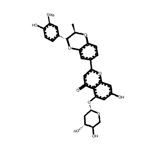 COc1cc([C@H]2Oc3cc(-c4cc(=O)c5c(O[C@H]6C[C@@H](O)C(O)CO6)cc(O)cc5o4)ccc3O[C@@H]2C)ccc1O